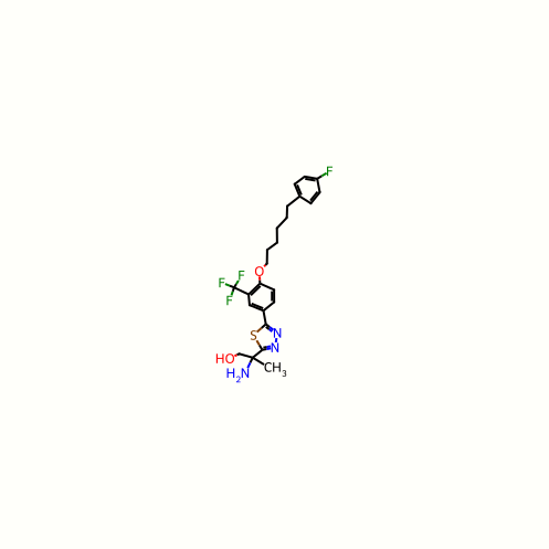 CC(N)(CO)c1nnc(-c2ccc(OCCCCCCc3ccc(F)cc3)c(C(F)(F)F)c2)s1